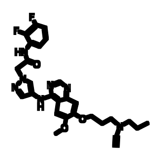 C#CN(CCC)CCCOc1cc2ncnc(Nc3cnn(CC(=O)Nc4cccc(F)c4F)c3)c2cc1OC